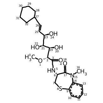 CO[C@@H](C(=O)N[C@H]1CSc2ccccc2N(C)C1=O)[C@H](O)[C@@H](O)[C@H](O)/C=C/C1CCCCC1